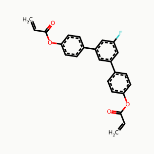 C=CC(=O)Oc1ccc(-c2cc(F)cc(-c3ccc(OC(=O)C=C)cc3)c2)cc1